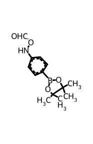 CC1(C)OB(c2ccc(NOC=O)cc2)OC1(C)C